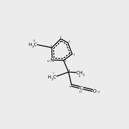 Cc1cccc(C(C)(C)C=C=O)n1